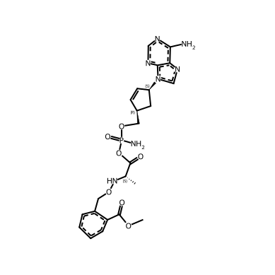 COC(=O)c1ccccc1CON[C@@H](C)C(=O)OP(N)(=O)OC[C@H]1C=C[C@@H](n2cnc3c(N)ncnc32)C1